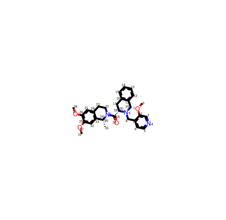 COc1cnccc1CN1Cc2ccccc2C[C@H]1C(=O)N1CCc2cc(OC)c(OC)cc2[C@H]1C